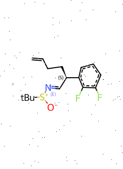 C=CCC[C@H](/C=N/[S+]([O-])C(C)(C)C)c1cccc(F)c1F